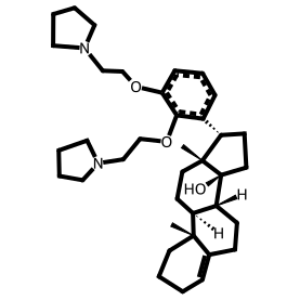 C[C@]12CCCC=C1CC[C@@H]1[C@@H]2CC[C@]2(C)[C@H](c3cccc(OCCN4CCCC4)c3OCCN3CCCC3)CC[C@]12O